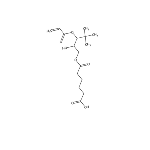 C=CC(=O)OC(C(O)COC(=O)CCCCC(=O)O)C(C)(C)C